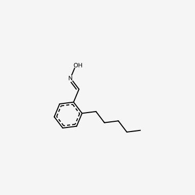 CCCCCc1ccccc1C=NO